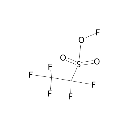 O=S(=O)(OF)C(F)(F)C(F)(F)F